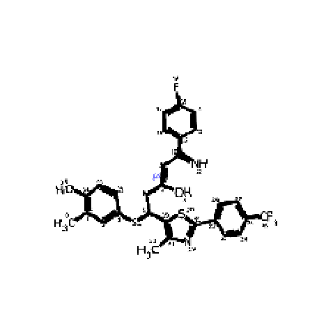 Cc1cc(SC(C/C(O)=C/C(=N)c2ccc(F)cc2)c2sc(-c3ccc(C(F)(F)F)cc3)nc2C)ccc1O